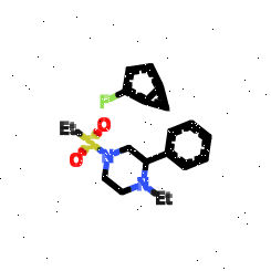 CCN1CCN(S(=O)(=O)CC)CC1c1ccccc1.Fc1ccc2cc1-2